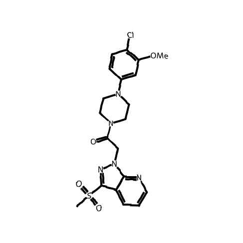 COc1cc(N2CCN(C(=O)Cn3nc(S(C)(=O)=O)c4cccnc43)CC2)ccc1Cl